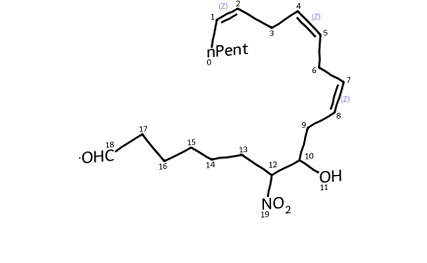 CCCCC/C=C\C/C=C\C/C=C\CC(O)C(CCCCC[C]=O)[N+](=O)[O-]